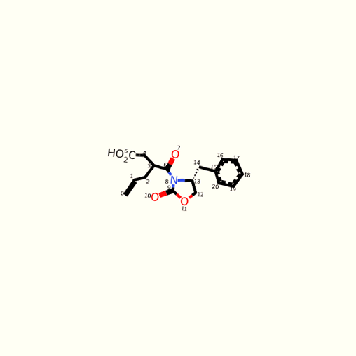 C=CCC(CC(=O)O)C(=O)N1C(=O)OC[C@H]1Cc1ccccc1